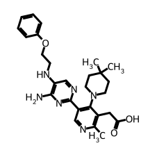 Cc1ncc(-c2ncc(NCCOc3ccccc3)c(N)n2)c(N2CCC(C)(C)CC2)c1CC(=O)O